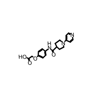 O=C(O)COc1ccc(NC(=O)C2CCN(c3ccncc3)CC2)cc1